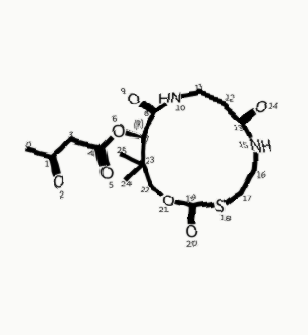 CC(=O)CC(=O)O[C@H]1C(=O)NCCC(=O)NCCSC(=O)OCC1(C)C